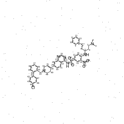 CN(C)CCC(CSc1ccccc1)Nc1ccc(S(=O)(=O)Nc2ncnc3cc(C4=CCN(Cc5ccccc5-c5ccc(Cl)cc5)CC4)ccc23)cc1[N+](=O)[O-]